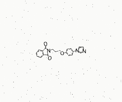 O=C1c2ccccc2C(=O)N1CCCOc1ccc(-n2ccnc2)cc1